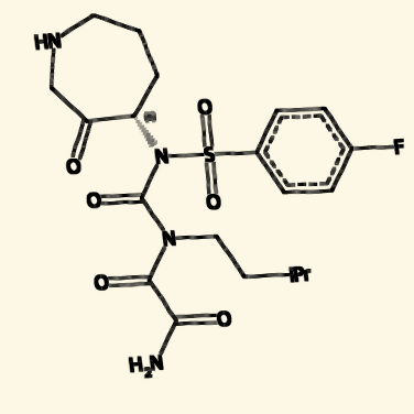 CC(C)CCN(C(=O)C(N)=O)C(=O)N([C@H]1CCCNCC1=O)S(=O)(=O)c1ccc(F)cc1